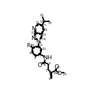 C=C(CCC(=O)Nc1ccc(F)c(-n2cc3cc(C(C)C)cnc3n2)c1)C(=O)OC